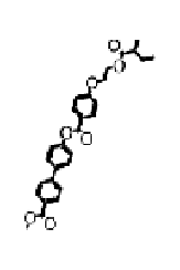 CCC(C)C(=O)OCCOc1ccc(C(=O)Oc2ccc(-c3ccc(C(=O)OC)cc3)cc2)cc1